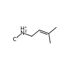 [CH2-][NH2+]CC=C(C)C